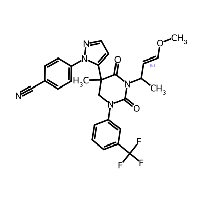 CO/C=C/C(C)N1C(=O)N(c2cccc(C(F)(F)F)c2)CC(C)(c2ccnn2-c2ccc(C#N)cc2)C1=O